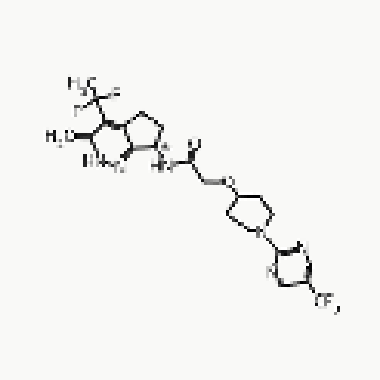 C=C1NN=C2C(=C1C(C)(F)F)CC[C@H]2NC(=O)COC1CCN(c2ncc(C(F)(F)F)cn2)CC1